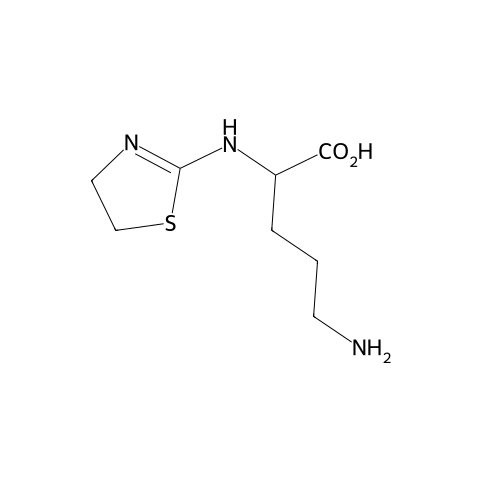 NCCCC(NC1=NCCS1)C(=O)O